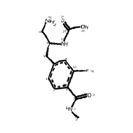 CNC(=O)c1ccc(C[C@@H](CN)NC(=O)O)cc1F